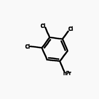 [CH2]CCc1cc(Cl)c(Cl)c(Cl)c1